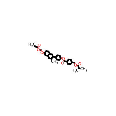 C=CC(=O)OCOc1ccc2cc(-c3ccc(OC(=O)c4ccc(COC(=O)C(=C)C)cc4)cc3)c(C)cc2c1